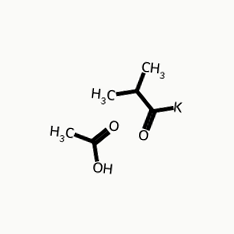 CC(=O)O.CC(C)[C](=O)[K]